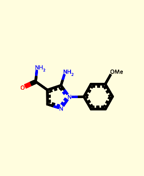 COc1cccc(-n2ncc(C(N)=O)c2N)c1